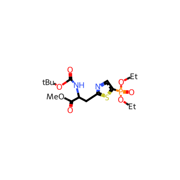 CCOP(=O)(OCC)c1cnc(CC(NC(=O)OC(C)(C)C)C(=O)OC)s1